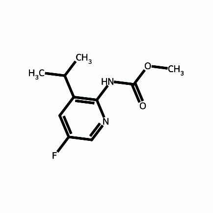 COC(=O)Nc1ncc(F)cc1C(C)C